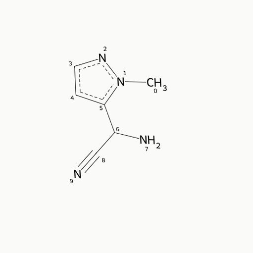 Cn1nccc1C(N)C#N